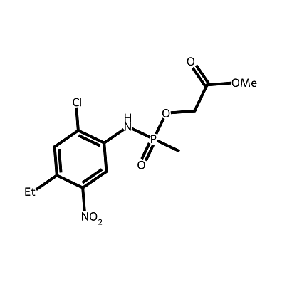 CCc1cc(Cl)c(NP(C)(=O)OCC(=O)OC)cc1[N+](=O)[O-]